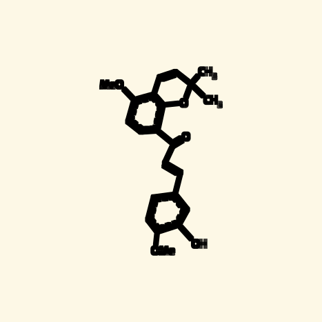 COc1ccc(C=CC(=O)c2ccc(OC)c3c2OC(C)(C)C=C3)cc1O